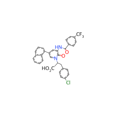 O=C(Nc1cc(-c2cccc3ccccc23)cn(C(Cc2ccc(Cl)cc2)C(=O)O)c1=O)c1ccc(C(F)(F)F)cc1